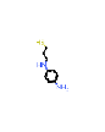 Nc1ccc(NCCCS)cc1